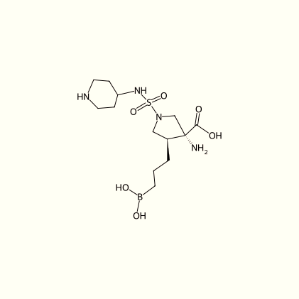 N[C@@]1(C(=O)O)CN(S(=O)(=O)NC2CCNCC2)C[C@@H]1CCCB(O)O